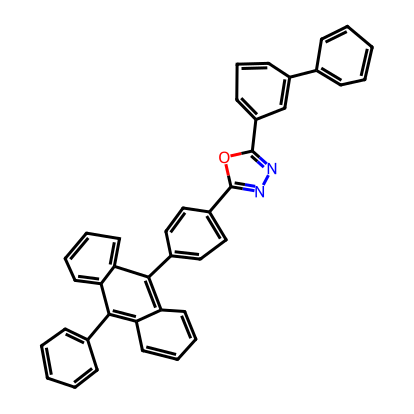 c1ccc(-c2cccc(-c3nnc(-c4ccc(-c5c6ccccc6c(-c6ccccc6)c6ccccc56)cc4)o3)c2)cc1